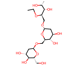 CCO[C@H](CO[C@@H]1C[C@@H](O)[C@H](O)[C@@H](CO[C@@H]2C[C@@H](O)[C@H](O)[C@@H](CO)O2)O1)[C@@H](O)[C@@H](C)O